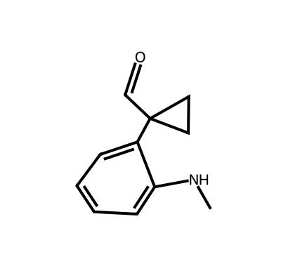 CNc1ccccc1C1(C=O)CC1